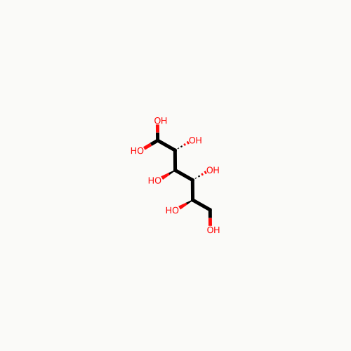 OC[C@@H](O)[C@@H](O)[C@@H](O)[C@@H](O)C(O)O